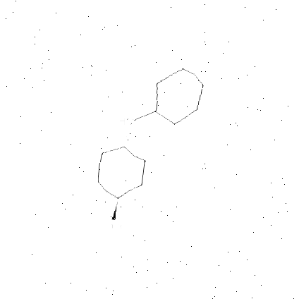 CC(C)[C@H]1CC[C@H](NC2CCCCC2)CC1